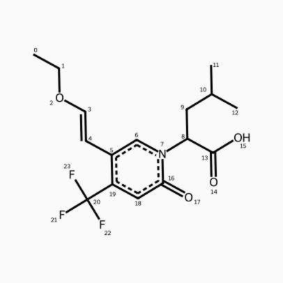 CCO/C=C/c1cn(C(CC(C)C)C(=O)O)c(=O)cc1C(F)(F)F